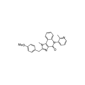 COc1ccc(Cc2nc3c(=O)n(-c4cccnc4C)c4ccccc4c3n2C)cc1